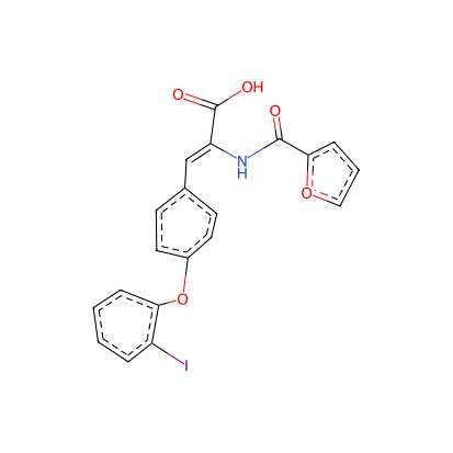 O=C(O)C(=Cc1ccc(Oc2ccccc2I)cc1)NC(=O)c1ccco1